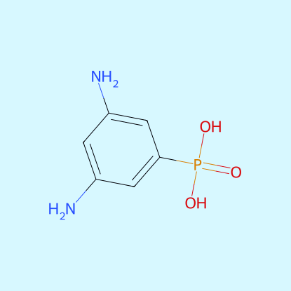 Nc1cc(N)cc(P(=O)(O)O)c1